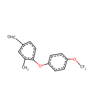 Cc1cc(C=O)ccc1Oc1ccc(OC(F)(F)F)cc1